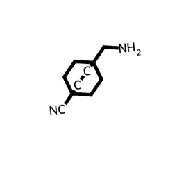 N#CC12CCC(CN)(CC1)CC2